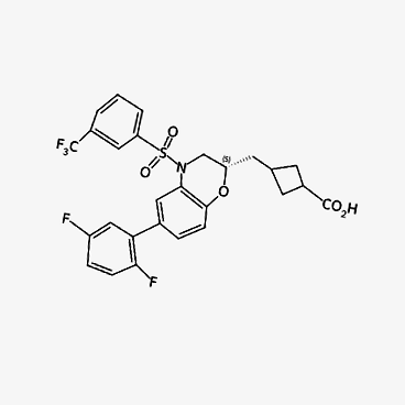 O=C(O)C1CC(C[C@H]2CN(S(=O)(=O)c3cccc(C(F)(F)F)c3)c3cc(-c4cc(F)ccc4F)ccc3O2)C1